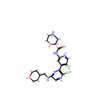 O=C(Nc1cc(-c2nc(NCC3CCOCC3)cnc2Cl)c(Cl)cn1)[C@H]1CNCCO1